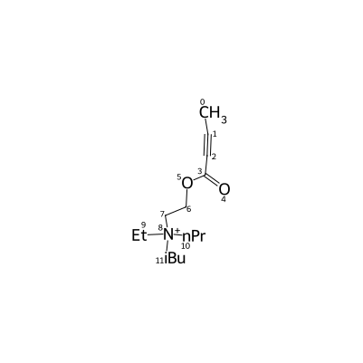 CC#CC(=O)OCC[N+](CC)(CCC)C(C)CC